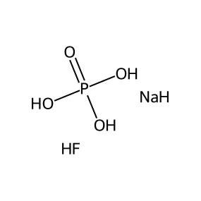 F.O=P(O)(O)O.[NaH]